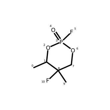 CC1OP(=O)(F)OCC1(C)F